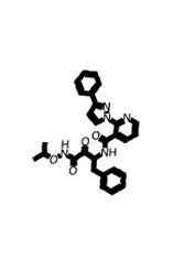 CC(C)ONC(=O)C(=O)C(Cc1ccccc1)NC(=O)c1cccnc1-n1ccc(-c2ccccc2)n1